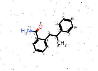 CC(Cc1ccccc1C(N)=O)c1ccccc1